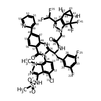 Cn1nc(NS(C)(=O)=O)c2c(Cl)ccc(-n3c([C@H](Cc4cc(F)cc(F)c4)NC(=O)Cn4nc(C(F)F)c5c4C(F)(F)[C@@H]4C[C@H]54)nc4cc(-c5ccccn5)ccc4c3=O)c21